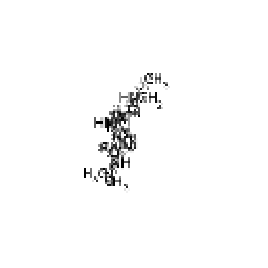 C=C(CCCC)Nc1cncc(-c2ccc3[nH]nc(-c4nc5c(-c6cc(F)cc(NCCN(C)C)c6)cncc5[nH]4)c3n2)c1